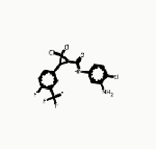 Nc1cc(NC(=O)C2C(c3ccc(F)c(C(F)(F)F)c3)C2(Cl)Cl)ccc1Cl